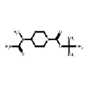 CN(C(N)=O)C1CCN(C(=O)OC(C)(C)C)CC1